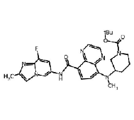 Cc1cn2cc(NC(=O)c3ccc(N(C)C4CCCN(C(=O)OC(C)(C)C)C4)c4nccnc34)cc(F)c2n1